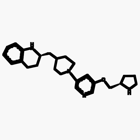 c1ccc2c(c1)CC[C@@H](CC1CCN(c3cncc(OC[C@@H]4CCCN4)c3)CC1)N2